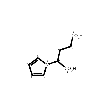 O=C(O)CCC(C(=O)O)n1cccc1